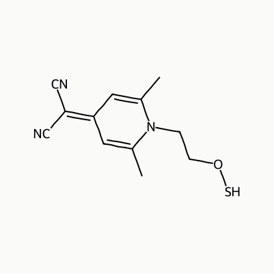 CC1=CC(=C(C#N)C#N)C=C(C)N1CCOS